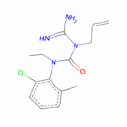 C=CCN(C(=N)N)C(=O)N(CC)c1c(C)cccc1Cl